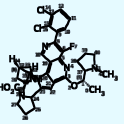 C[C@H](Oc1nc2c(F)c(-c3cccc(Cl)c3Cl)ncc2c2c1cc(C1CCCN1C(=O)O)n2[C@H]1[C@H]2CN[C@@H]1C2)C1CCCN1C